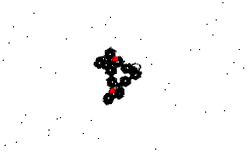 CC1(C)c2ccccc2-c2cccc(N(c3ccc(-c4cccc5oc6ccccc6c45)cc3)c3cccc(-c4ccc5c(c4)-c4ccccc4C5(c4ccccc4)c4ccccc4)c3)c21